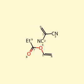 C=C(C#N)C#N.C=COC(=O)CC